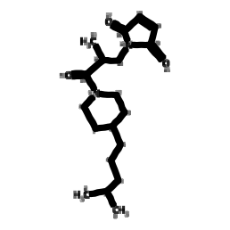 CC(C)CCCC1CCN(C(=O)C(C)CN2C(=O)C=CC2=O)CC1